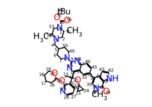 C[C@@H]1CN(CC2CCN(c3nc(C(COC4CCCCO4)(OC4CC4)c4cccnc4)c4cc(-c5cn(C)c(=O)c6[nH]ccc56)ccc4n3)CC2)[C@@H](C)CN1C(=O)OC(C)(C)C